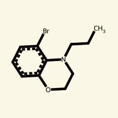 CCCN1CCOc2cccc(Br)c21